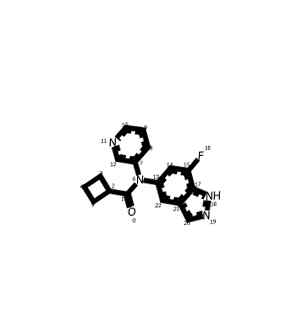 O=C(C1CCC1)N(c1cccnc1)c1cc(F)c2[nH]ncc2c1